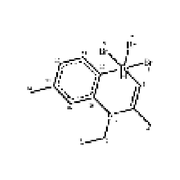 CCN1C(C)=C[TeH](Br)(Br)(Br)c2ccc(C)cc21